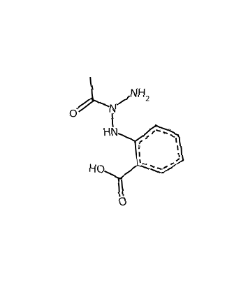 CC(=O)N(N)Nc1ccccc1C(=O)O